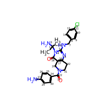 CC(C)(N)n1c(NCc2ccc(Cl)cc2)nc2c(c1=O)CN(C(=O)c1ccc(N)cc1)CC2